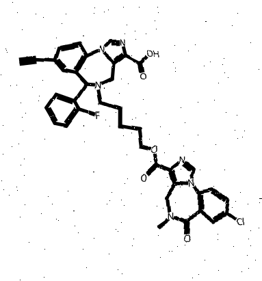 C#Cc1ccc2c(c1)C(c1ccccc1F)N(CCCCCOC(=O)c1ncn3c1CN(C)C(=O)c1cc(Cl)ccc1-3)Cc1c(C(=O)O)ncn1-2